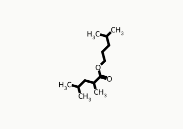 CC(C)CCCOC(=O)C(C)CC(C)C